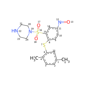 Cc1ccc(C)c(Sc2ccc(N=O)cc2S(=O)(=O)N2CCNCC2)c1